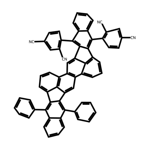 N#Cc1ccc(-c2c3ccccc3c(-c3ccc(C#N)cc3C#N)c3c4cc5c(cc6c7c(-c8ccccc8)c8ccccc8c(-c8ccccc8)c7c7cccc5c76)c5cccc(c23)c54)c(C#N)c1